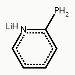 Pc1ccccn1.[LiH]